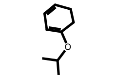 CC(C)OC1=CC=CCC1